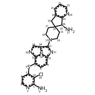 Nc1nccc(Sc2ccc3nc(N4CCC5(CC4)Cc4cccnc4[C@H]5N)c4cnc2n34)c1Cl